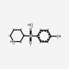 Cl.N#Cc1ccc(S(=O)(=O)C2CCCNC2)cc1